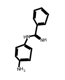 N=C(Nc1ccc(N)cc1)c1ccccc1